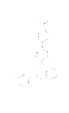 Cc1ccccc1[C@H](C/C(=N\O)c1cc(Cl)nc(Cl)c1)c1ccc(-c2ccc(C(=O)O)cc2)cc1